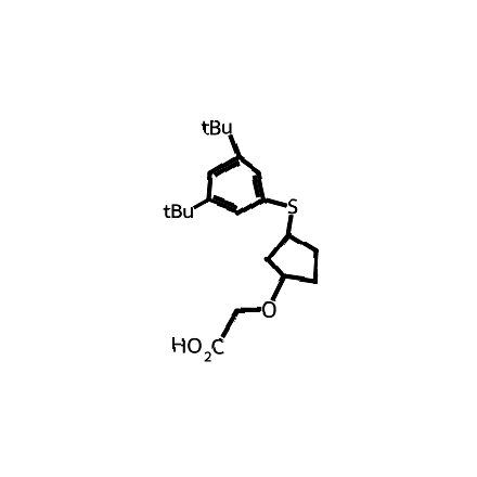 CC(C)(C)c1cc(SC2CCC(OCC(=O)O)C2)cc(C(C)(C)C)c1